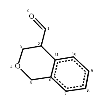 O=CC1COCc2ccccc21